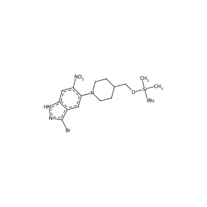 CC(C)(C)[Si](C)(C)OCC1CCN(c2cc3c(Br)n[nH]c3cc2[N+](=O)[O-])CC1